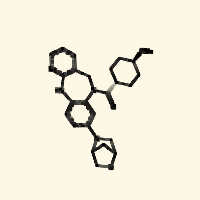 CO[C@H]1CC[C@H](C(=O)N2Cc3cccnc3Nc3ccc(N4CC5CC4CO5)cc32)CC1